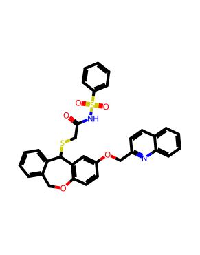 O=C(CSC1c2ccccc2COc2ccc(OCc3ccc4ccccc4n3)cc21)NS(=O)(=O)c1ccccc1